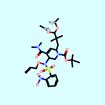 C=CCON(C1CN(C(=O)OC(C)(C)C)C(CC(C)(C)C(O[SiH2]C)O[SiH2]C)C=C1C(=O)N(C)C)S(=O)(=O)c1ccccc1[N+](=O)[O-]